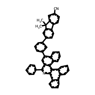 CC1(C)c2cc(C#N)ccc2-c2ccc(-c3cccc(-c4cc5c(-c6ccccc6)nc6c7ccccc7c7ccccc7c6c5c5ccccc45)c3)cc21